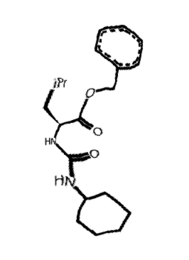 CC(C)C[C@H](NC(=O)NC1CCCCC1)C(=O)OCc1ccccc1